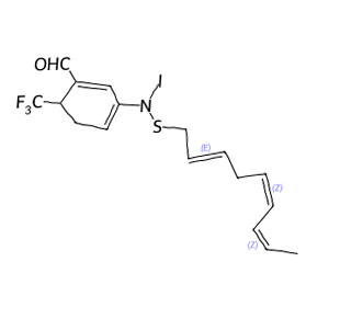 C/C=C\C=C/C/C=C/CSN(I)C1=CCC(C(F)(F)F)C(C=O)=C1